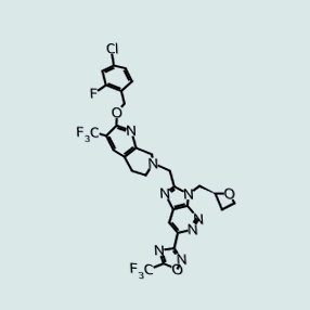 Fc1cc(Cl)ccc1COc1nc2c(cc1C(F)(F)F)CCN(Cc1nc3cc(-c4noc(C(F)(F)F)n4)nnc3n1C[C@@H]1CCO1)C2